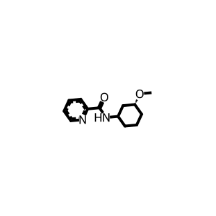 CO[C@@H]1CCCC(NC(=O)c2ccccn2)C1